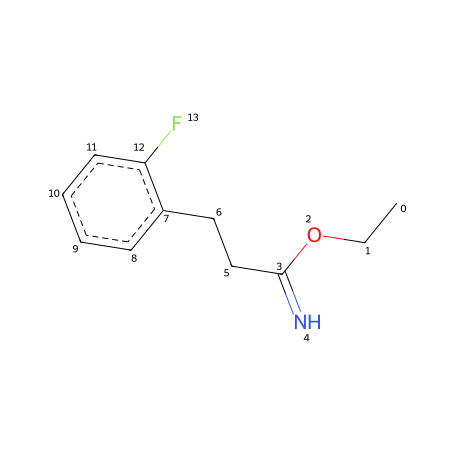 CCOC(=N)CCc1ccccc1F